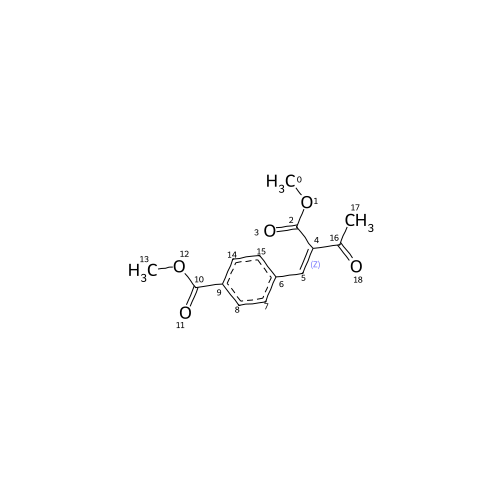 COC(=O)/C(=C\c1ccc(C(=O)OC)cc1)C(C)=O